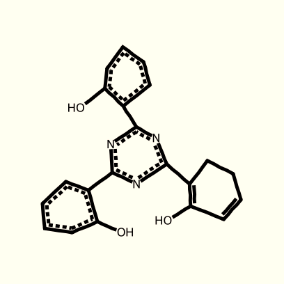 OC1=C(c2nc(-c3ccccc3O)nc(-c3ccccc3O)n2)CCC=C1